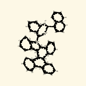 c1ccc2c(-c3nc(-n4c5ccccc5c5c6c7ccccc7c7ccccc7c6c6ccccc6c54)c4ccccc4n3)cccc2c1